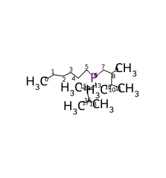 CCCCCCP(CC(C)C(C)C)CC(C)C(C)C